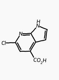 O=C(O)c1cc(Cl)nc2[nH]ccc12